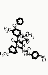 COc1ccc(NC(=O)N=c2nc(S(C)(=O)=O)n(-c3ccc(Oc4ccccc4)c(C)c3)c(=O)n2-c2ccc(OC)cc2)cc1